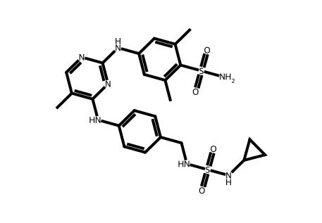 Cc1cnc(Nc2cc(C)c(S(N)(=O)=O)c(C)c2)nc1Nc1ccc(CNS(=O)(=O)NC2CC2)cc1